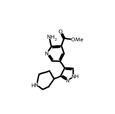 COC(=O)c1cc(-c2c[nH]nc2C2CCNCC2)cnc1N